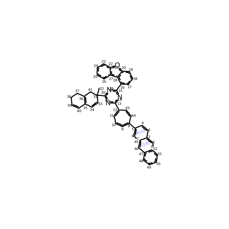 C/C=C(/C=C\C(=C/C)C1=C=CC=C(c2nc(-c3cccc4oc5ccccc5c34)nc(C3(C)C=CC4=C(CCC=C4)C3)n2)C=C1)\C=C/c1ccccc1